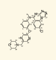 CN(c1cccc(Oc2cnc(CN3CCOCC3)cn2)c1)c1nc2nncn2c2cc(Cl)ccc12